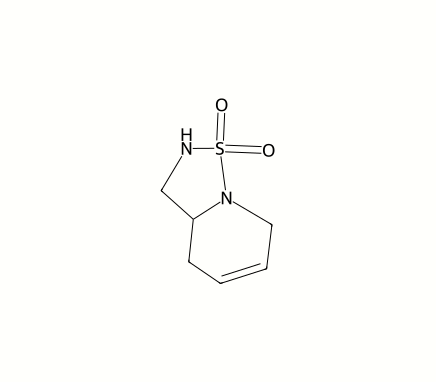 O=S1(=O)NCC2CC=CCN21